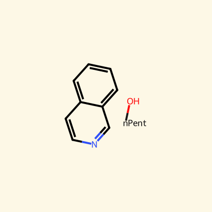 CCCCCO.c1ccc2cnccc2c1